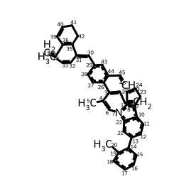 C=C/C=C(\C(C)=C/n1c2c(c3ccc(-c4ccccc4C)cc31)CC=C2)c1ccc(/C=C(\C=C/C)C2=C(C=C)C=CCC2)cc1C=C